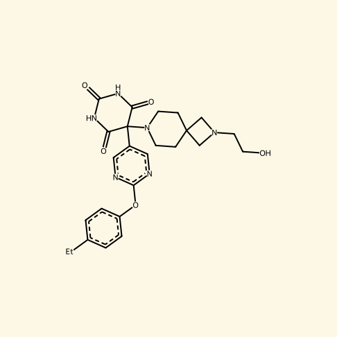 CCc1ccc(Oc2ncc(C3(N4CCC5(CC4)CN(CCO)C5)C(=O)NC(=O)NC3=O)cn2)cc1